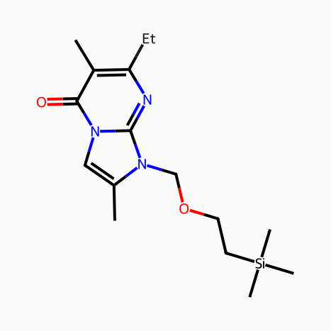 CCc1nc2n(COCC[Si](C)(C)C)c(C)cn2c(=O)c1C